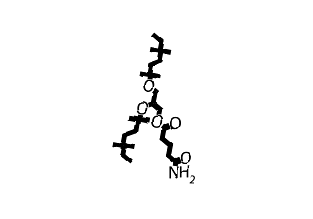 CCC(C)(C)CCC(C)(C)OCC(COC(=O)CCCC(N)=O)OC(C)(C)CCC(C)(C)CC